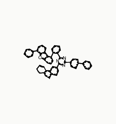 C1=Cc2c(ccc3ccc(-c4nc(-c5ccc(-c6ccccc6)cc5)nc(-c5ccccc5-c5cccc6oc7c(-c8ccccc8)cccc7c56)n4)cc23)CC1